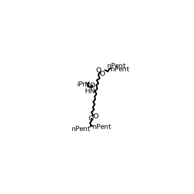 CCCCCC(CCCCC)CCOC(=O)CCCCCCCCC(CCCCCCC(=O)OCCC(CCCCC)CCCCC)NC(=O)CN(C)C(C)C